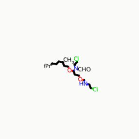 CC(C)CCCC(C)CCOC(CCOCNCCCl)N(C=O)CCCl